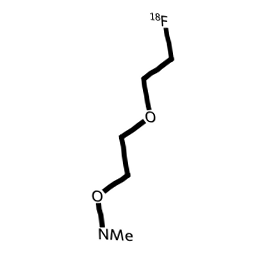 CNOCCOCC[18F]